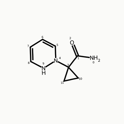 NC(=O)C1(N2C=CC=CN2)CC1